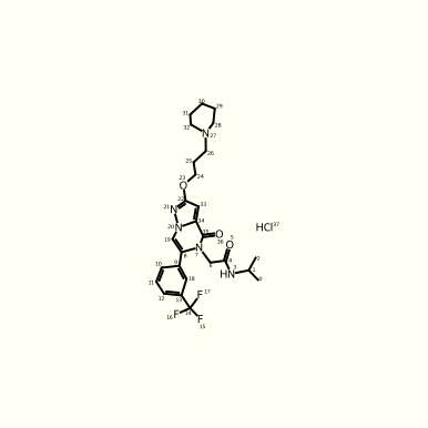 CC(C)NC(=O)Cn1c(-c2cccc(C(F)(F)F)c2)cn2nc(OCCCN3CCCCC3)cc2c1=O.Cl